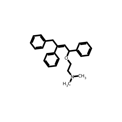 CN(C)CCOC(/C=C(/Cc1ccccc1)c1ccccc1)c1ccccc1